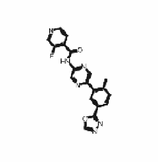 Cc1ccc(-c2nnco2)cc1-c1cnc(NC(=O)c2ccncc2F)cn1